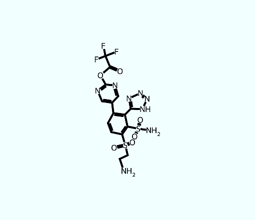 NCCS(=O)(=O)c1ccc(-c2cnc(OC(=O)C(F)(F)F)nc2)c(-c2nnn[nH]2)c1S(N)(=O)=O